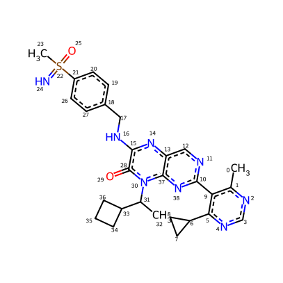 Cc1ncnc(C2CC2)c1-c1ncc2nc(NCc3ccc(S(C)(=N)=O)cc3)c(=O)n(C(C)C3CCC3)c2n1